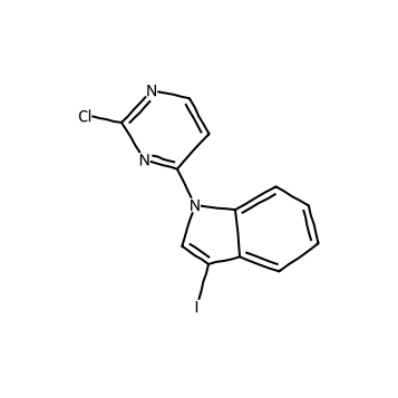 Clc1nccc(-n2cc(I)c3ccccc32)n1